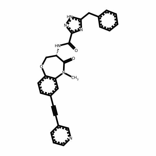 CN1C(=O)[C@@H](NC(=O)c2n[nH]c(Cc3ccccc3)n2)COc2ccc(C#Cc3cccnc3)cc21